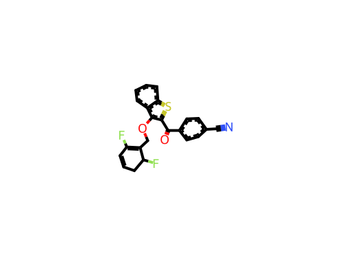 N#Cc1ccc(C(=O)c2sc3ccccc3c2OCC2=C(F)C=CCC2F)cc1